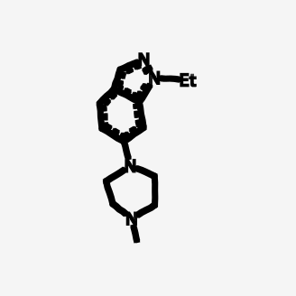 CCn1ncc2ccc(N3CCN(C)CC3)cc21